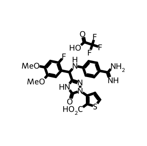 COc1cc(F)c(C(Nc2ccc(C(=N)N)cc2)c2nn(-c3ccsc3C(=O)O)c(=O)[nH]2)cc1OC.O=C(O)C(F)(F)F